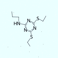 CCCNc1nc(SCC)nc(SCC)n1